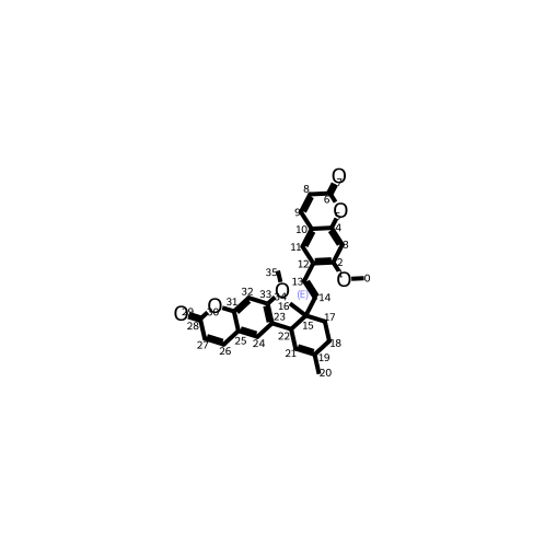 COc1cc2oc(=O)ccc2cc1/C=C/C1(C)CCC(C)=CC1c1cc2ccc(=O)oc2cc1OC